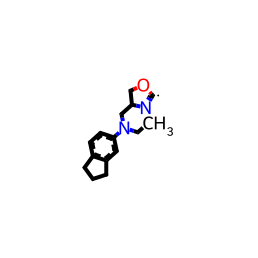 CCN(CC1CO[C]=N1)c1ccc2c(c1)CCC2